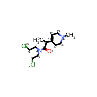 CC(C(=O)N(CCCl)CCCl)C1=CCN(C)CC1